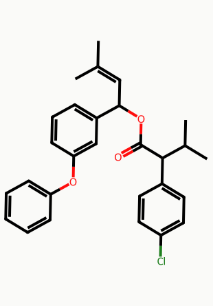 CC(C)=CC(OC(=O)C(c1ccc(Cl)cc1)C(C)C)c1cccc(Oc2ccccc2)c1